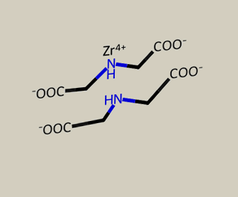 O=C([O-])CNCC(=O)[O-].O=C([O-])CNCC(=O)[O-].[Zr+4]